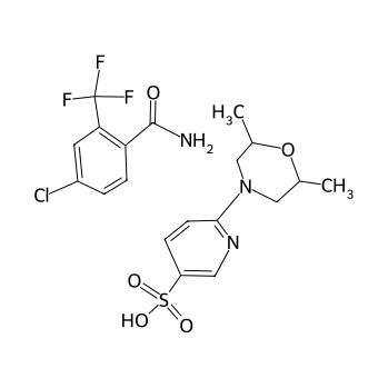 CC1CN(c2ccc(S(=O)(=O)O)cn2)CC(C)O1.NC(=O)c1ccc(Cl)cc1C(F)(F)F